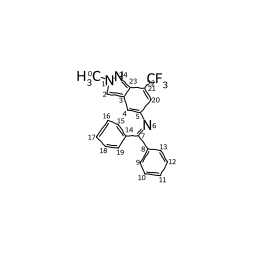 Cn1cc2cc(N=C(c3ccccc3)c3ccccc3)cc(C(F)(F)F)c2n1